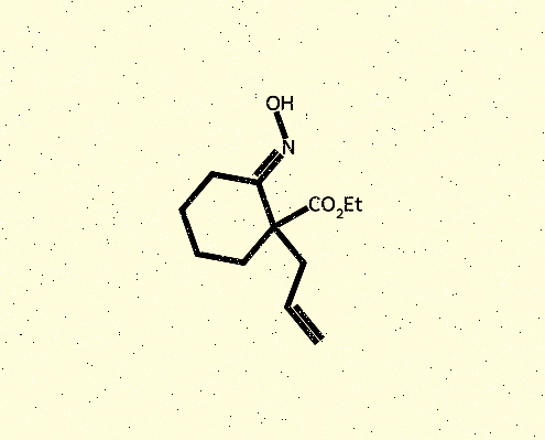 C=CCC1(C(=O)OCC)CCCC/C1=N\O